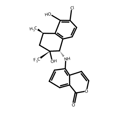 C[C@@H]1C[C@](O)(C(F)(F)F)[C@@H](Nc2cccc3c(=O)occc23)c2ccc(Cl)c(O)c21